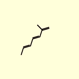 C=C(C)C=CC=CC